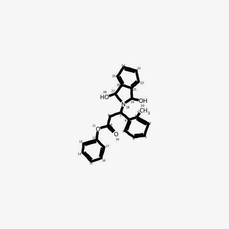 Cc1ccccc1C(CC(=O)Oc1ccccc1)N1C(O)c2ccccc2C1O